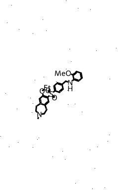 CCOc1cc2c(cc1S(=O)(=O)c1ccc(CNc3ccccc3OC)cc1)CCN(C)CC2